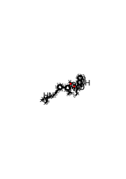 CCCCN(C(=O)Nc1c(C(C)C)cc(-c2cccc(C#CCNCCN(CC)CC)c2)cc1C(C)C)c1cc2cccnc2[nH]c1=O